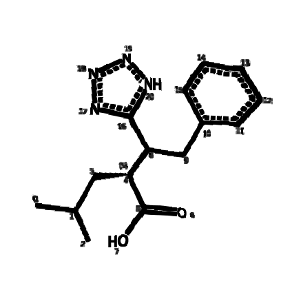 CC(C)C[C@H](C(=O)O)C(Cc1ccccc1)c1nnn[nH]1